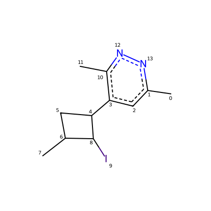 Cc1cc(C2CC(C)C2I)c(C)nn1